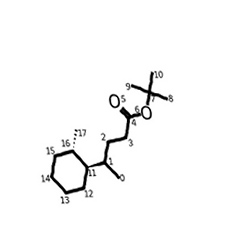 CC(CCC(=O)OC(C)(C)C)[C@H]1CCCC[C@@H]1C